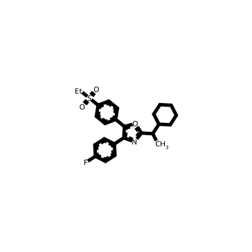 CCS(=O)(=O)c1ccc(-c2oc(C(C)C3CCCCC3)nc2-c2ccc(F)cc2)cc1